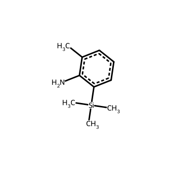 Cc1cccc([Si](C)(C)C)c1N